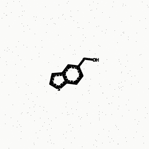 O[CH]c1ccc2sccc2c1